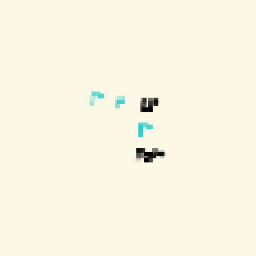 [F-].[F-].[F-].[Fe+2].[Li+]